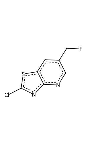 FCc1cnc2nc(Cl)sc2c1